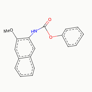 COc1cc2ccccc2cc1NC(=O)Oc1ccccc1